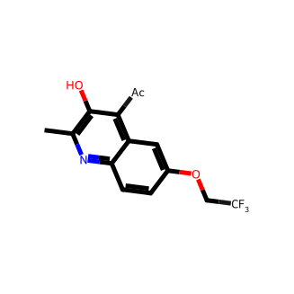 CC(=O)c1c(O)c(C)nc2ccc(OCC(F)(F)F)cc12